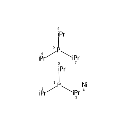 CC(C)P(C(C)C)C(C)C.CC(C)P(C(C)C)C(C)C.[Ni]